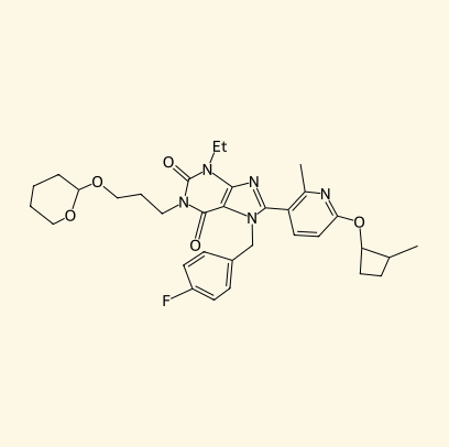 CCn1c(=O)n(CCCOC2CCCCO2)c(=O)c2c1nc(-c1ccc(OC3CCC3C)nc1C)n2Cc1ccc(F)cc1